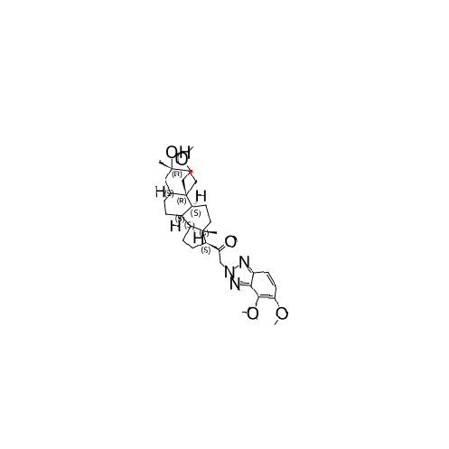 COCC[C@]12CC[C@@](C)(O)C[C@@H]1CC[C@H]1[C@@H]3CC[C@H](C(=O)Cn4nc5ccc(OC)c(OC)c5n4)[C@@]3(C)CC[C@@H]12